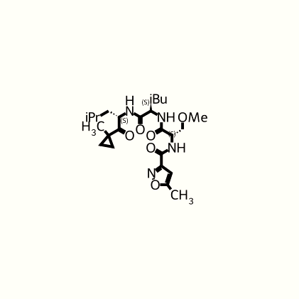 CC[C@H](C)C(NC(=O)[C@H](COC)NC(=O)c1cc(C)on1)C(=O)N[C@@H](CC(C)C)C(=O)C1(C)CC1